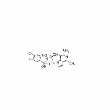 Cc1nc(C)c2ccn([C@@H]3O[C@H]([C@H](O)c4ccc(Cl)c(F)c4)[C@@H](O)[C@H]3O)c2n1